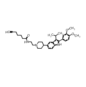 C#CCCCCC(=O)NCCN1CCC(c2ccc3[nH]c(-c4ccc(OC)c(OC)c4)c(C(C)C)c3c2)CC1